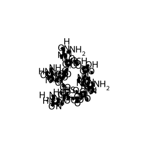 CO[C@H]1C(O)[C@@H](COP(=O)(S)OC2[C@@H](COP(=O)(O)OC3[C@@H](COP(=O)(O)OC4[C@@H](COP(=O)(O)OC5[C@@H](COS)O[C@@H](n6cnc7c(N)ncnc76)[C@H]5OC)O[C@@H](n5cnc6c(=O)[nH]c(N)nc65)[C@H]4OC)O[C@@H](n4cnc5c(=O)[nH]c(N)nc54)[C@H]3OC)O[C@@H](n3cnc4c(=O)[nH]c(N)nc43)[C@H]2OC)O[C@H]1n1cnc2c(N)ncnc21